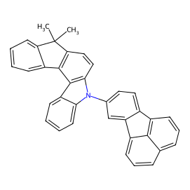 CC1(C)c2ccccc2-c2c1ccc1c2c2ccccc2n1-c1ccc2c(c1)-c1cccc3cccc-2c13